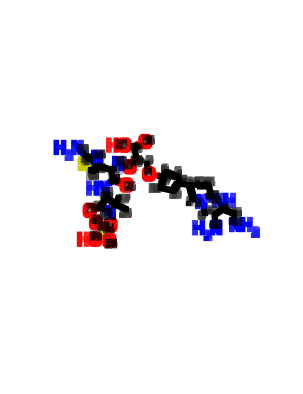 C[n+]1cc(-c2ccc(OC[C@H](O/N=C(\C(=O)N[C@@H]3C(=O)N(OS(=O)(=O)O)C3(C)C)c3csc(N)n3)C(=O)O)cc2)ccc1NC(CN)CN